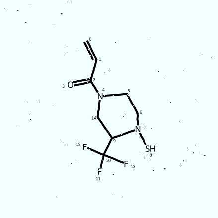 C=CC(=O)N1CCN(S)C(C(F)(F)F)C1